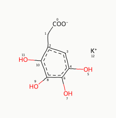 O=C([O-])Cc1cc(O)c(O)c(O)c1O.[K+]